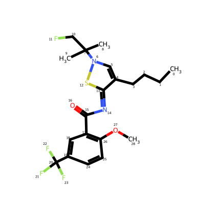 CCCCc1cn(C(C)(C)CF)sc1=NC(=O)c1cc(C(F)(F)F)ccc1OC